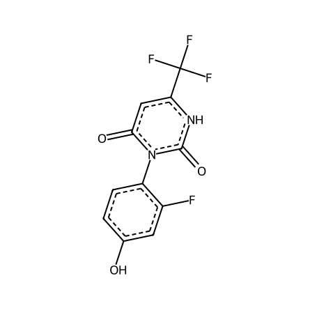 O=c1cc(C(F)(F)F)[nH]c(=O)n1-c1ccc(O)cc1F